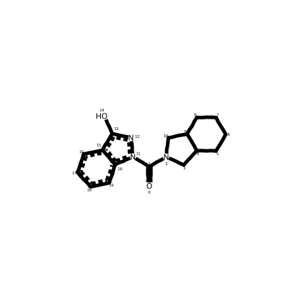 O=C(N1CC2CCCCC2C1)n1nc(O)c2ccccc21